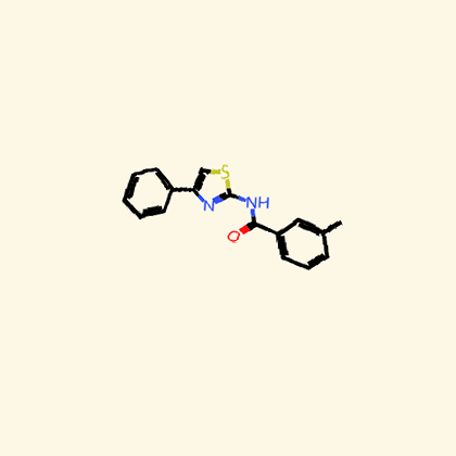 Cc1cccc(C(=O)Nc2nc(-c3ccccc3)cs2)c1